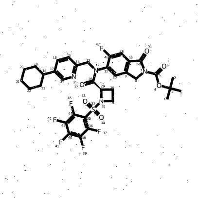 CC(C)(C)OC(=O)N1Cc2cc(N(Cc3ccc(C4CCCCC4)cn3)C(=O)[C@H]3CCN3S(=O)(=O)c3c(F)c(F)c(F)c(F)c3F)c(F)cc2C1=O